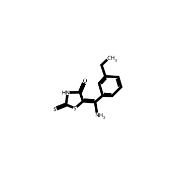 CCc1cccc(C(N)=C2SC(=S)NC2=O)c1